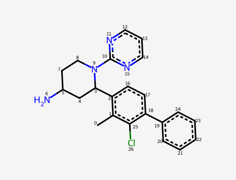 Cc1c(C2CC(N)CCN2c2ncccn2)ccc(-c2ccccc2)c1Cl